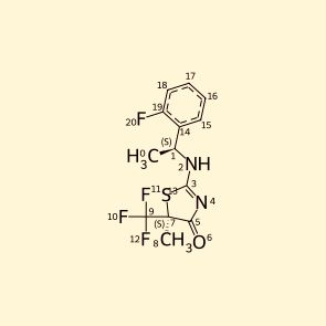 C[C@H](NC1=NC(=O)[C@@](C)(C(F)(F)F)S1)c1ccccc1F